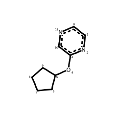 [c]1cnc(OC2CCCC2)cn1